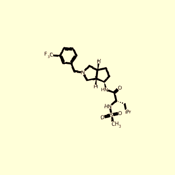 CC(C)C[C@H](NS(C)(=O)=O)C(=O)N[C@@H]1CC[C@H]2CN(Cc3cccc(C(F)(F)F)c3)C[C@H]21